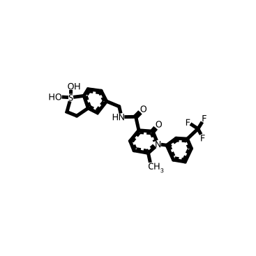 Cc1ccc(C(=O)NCc2ccc3c(c2)CCS3(O)O)c(=O)n1-c1cccc(C(F)(F)F)c1